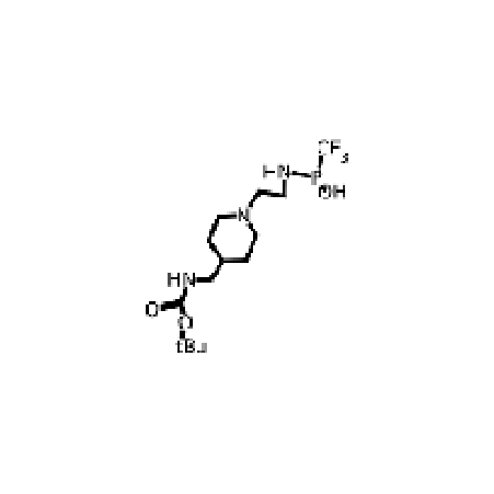 CC(C)(C)OC(=O)NCC1CCN(CCNP(O)C(F)(F)F)CC1